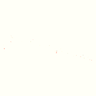 O=C(CSCSCC[S+]([O-])CCSCSCCSC(=O)CSCSCCOOCSCO)OCSCO